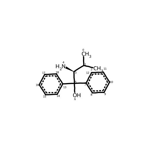 CC(C)[C@H](N)C(O)(c1ccccc1)c1ccccc1